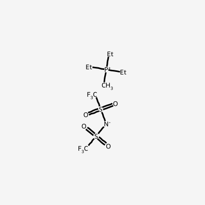 CC[P+](C)(CC)CC.O=S(=O)([N-]S(=O)(=O)C(F)(F)F)C(F)(F)F